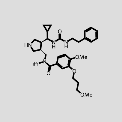 COCCCOc1cc(C(=O)N(C[C@@H]2CNC[C@H]2C(NC(=O)NCCc2ccccc2)C2CC2)C(C)C)ccc1OC